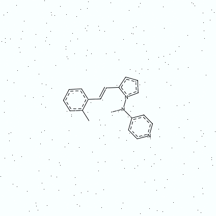 Cc1ccccc1/C=C/c1cccn1N(C)c1ccncc1